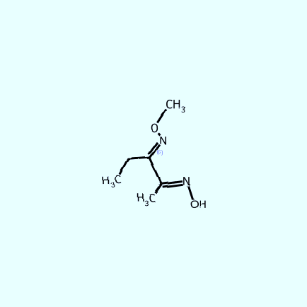 CC/C(=N\OC)C(C)=NO